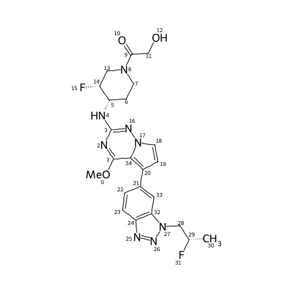 COc1nc(N[C@H]2CCN(C(=O)CO)C[C@H]2F)nn2ccc(-c3ccc4nnn(C[C@H](C)F)c4c3)c12